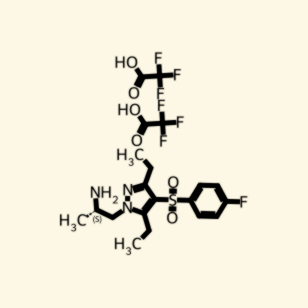 CCc1nn(C[C@H](C)N)c(CC)c1S(=O)(=O)c1ccc(F)cc1.O=C(O)C(F)(F)F.O=C(O)C(F)(F)F